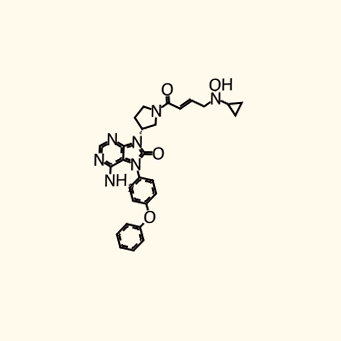 Nc1ncnc2c1n(-c1ccc(Oc3ccccc3)cc1)c(=O)n2[C@@H]1CCN(C(=O)/C=C/CN(O)C2CC2)C1